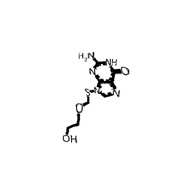 Nc1nc2c(ncn2SCOCCO)c(=O)[nH]1